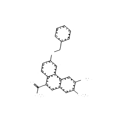 COC(=O)c1cc2cc(OC)c(OC)cc2c2cc(OCc3ccccc3)ccc12